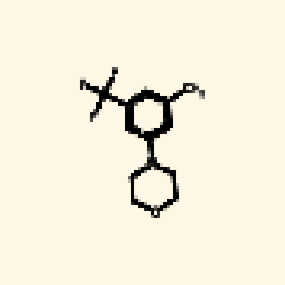 Cc1cc(N2CCOCC2)cc(C(F)(F)F)c1